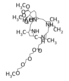 C=CC1C2CC3NC(CC4CC(C)C(CC5NC(CC(N2)C1C)C1CCC(C(=O)OC)[C@H](C(=O)OC)[C@]51C)N4)C(CCC(=O)OCCOCCOCCOC)C3C